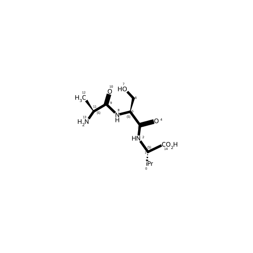 CC(C)[C@H](NC(=O)[C@H](CO)NC(=O)[C@H](C)N)C(=O)O